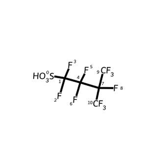 O=S(=O)(O)C(F)(F)C(F)(F)C(F)(C(F)(F)F)C(F)(F)F